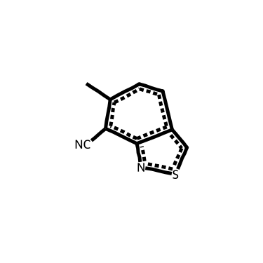 Cc1ccc2csnc2c1C#N